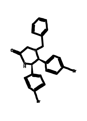 O=C1CN(Cc2ccccc2)[C@@H](c2ccc(Br)cc2)[C@@H](c2ccc(Br)cc2)N1